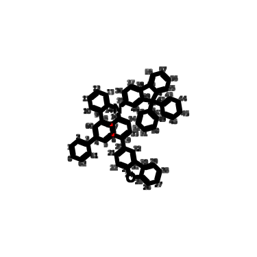 c1ccc(-c2cccc(-c3ccccc3N(c3ccc(-c4ccc5oc6ccccc6c5c4)cc3)c3ccc4c(c3)C(c3ccccc3)(c3ccccc3)c3ccccc3-4)c2)cc1